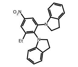 CCc1cc([N+](=O)[O-])cc(N2CCc3ccccc32)c1N1CCc2ccccc21